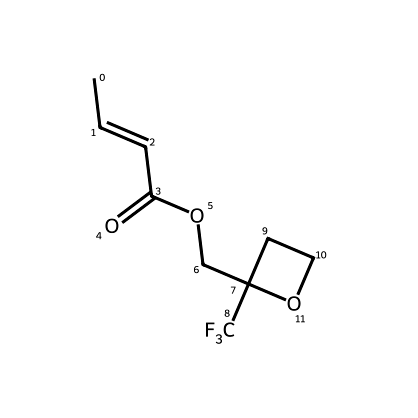 CC=CC(=O)OCC1(C(F)(F)F)CCO1